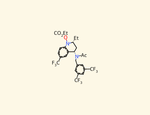 CCOC(=O)ON1c2ccc(C(F)(F)F)cc2[C@@H](N(Cc2cc(C(F)(F)F)cc(C(F)(F)F)c2)C(C)=O)C[C@H]1CC